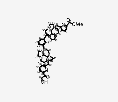 COC(=O)c1cccc(C[N+]23CCN4CC[N+]5(Cc6cccc(C[N+]78CCN9CC[N+]%10(Cc%11cccc(C(=O)CO)n%11)CCN(CC7)C%10C98)c6)CCN(CC2)C3C45)n1